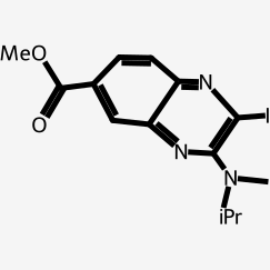 COC(=O)c1ccc2nc(I)c(N(C)C(C)C)nc2c1